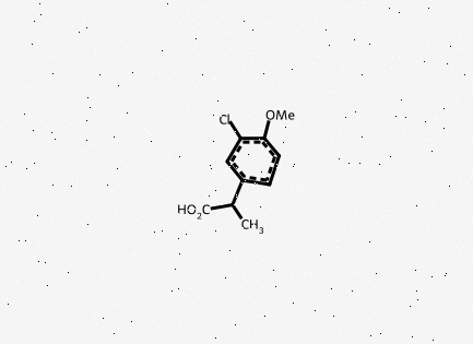 COc1ccc(C(C)C(=O)O)cc1Cl